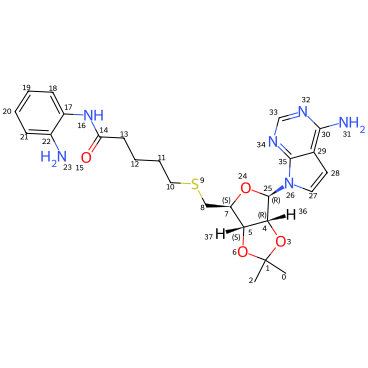 CC1(C)O[C@@H]2[C@H](O1)[C@@H](CSCCCCC(=O)Nc1ccccc1N)O[C@H]2n1ccc2c(N)ncnc21